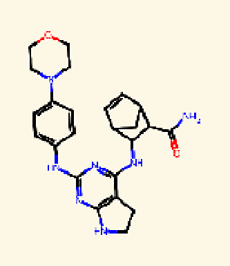 NC(=O)C1C2C=CC(C2)C1Nc1nc(Nc2ccc(N3CCOCC3)cc2)nc2c1CCN2